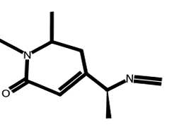 C=N[C@@H](C)C1=CC(=O)N(C)C(C)C1